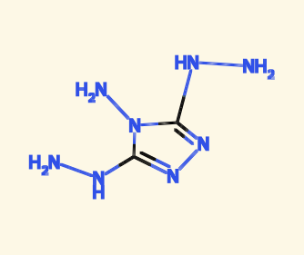 NNc1nnc(NN)n1N